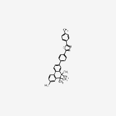 Cc1ccc(-c2nnc(-c3ccc(-c4ccc5c(c4)C(C)(C)C(C)(C)c4cc(C)ccc4-5)cc3)o2)cc1